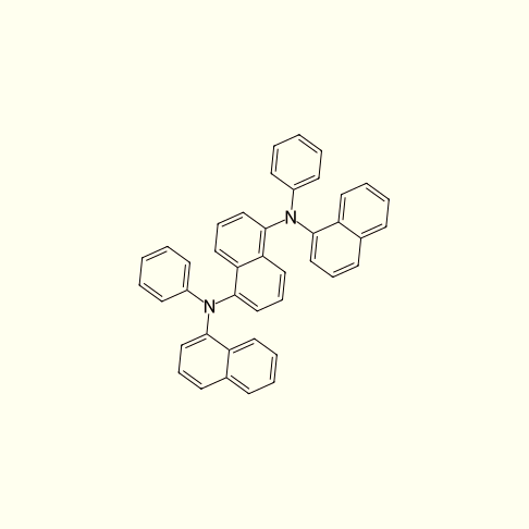 c1ccc(N(c2cccc3ccccc23)c2cccc3c(N(c4ccccc4)c4cccc5ccccc45)cccc23)cc1